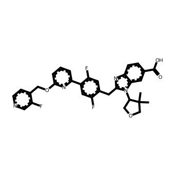 CC1(C)COCC1n1c(Cc2cc(F)c(-c3cccc(OCc4ccncc4F)n3)cc2F)nc2ccc(C(=O)O)cc21